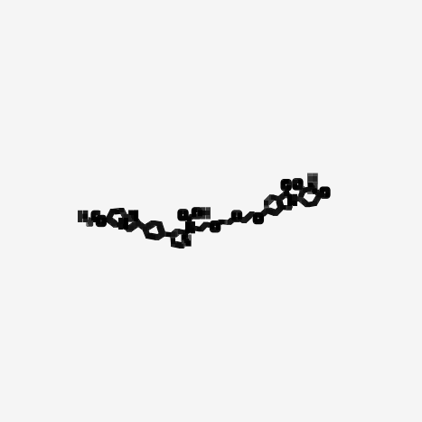 COc1ccc2nc(-c3ccc(-c4ccnc(N(CCOCCOCCOc5ccc6c(c5)CN(C5CCC(=O)NC5=O)C6=O)C(=O)O)c4)cc3)cn2c1